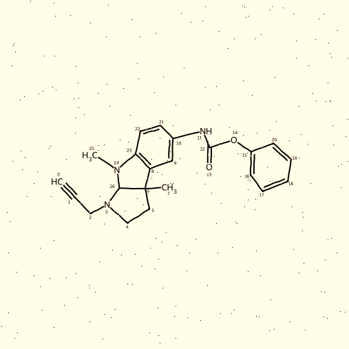 C#CCN1CCC2(C)c3cc(NC(=O)Oc4ccccc4)ccc3N(C)C12